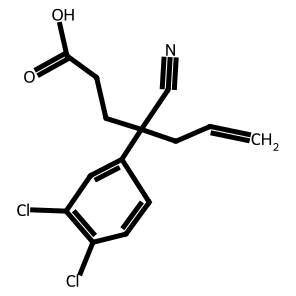 C=CCC(C#N)(CCC(=O)O)c1ccc(Cl)c(Cl)c1